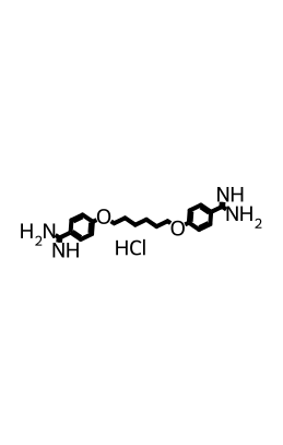 Cl.N=C(N)c1ccc(OCCCCCCOc2ccc(C(=N)N)cc2)cc1